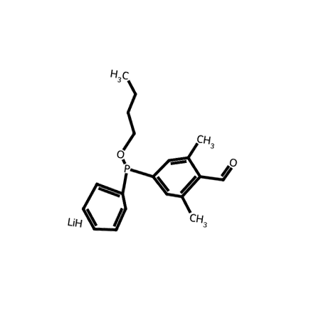 CCCCOP(c1ccccc1)c1cc(C)c(C=O)c(C)c1.[LiH]